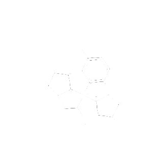 Cc1cccc([PH]([CH](Cl)[Pd])(C2CCCC2)C2CCCC2)c1